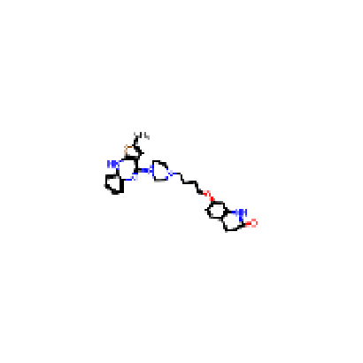 Cc1cc2c(s1)Nc1ccccc1N=C2N1CCN(CCCCOc2ccc3c(c2)NC(=O)CC3)CC1